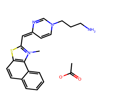 CC(=O)[O-].C[n+]1c(C=C2C=CN(CCCN)C=N2)sc2ccc3ccccc3c21